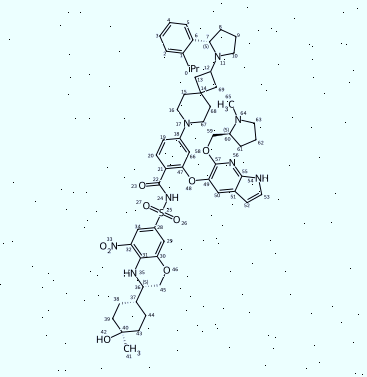 CC(C)c1ccccc1[C@@H]1CCCN1C1CC2(CCN(c3ccc(C(=O)NS(=O)(=O)c4cc5c(c([N+](=O)[O-])c4)N[C@@H]([C@H]4CC[C@](C)(O)CC4)CO5)c(Oc4cc5cc[nH]c5nc4OC[C@@H]4CCCN4C)c3)CC2)C1